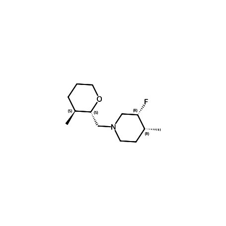 C[C@@H]1CCN(C[C@H]2OCCC[C@@H]2C)C[C@@H]1F